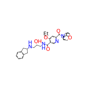 CCOc1cc(C(=O)N2CC3CCCC2CO3)ncc1C(=O)NC[C@@H](O)CNC1Cc2ccccc2C1